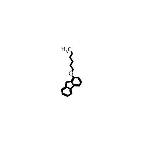 CCCCCCOc1cccc2c1Cc1ccccc1-2